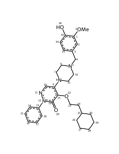 COc1cc(CN2CCN(c3cnn(-c4ccccc4)c(=O)c3OCCC3CCCCC3)CC2)ccc1O